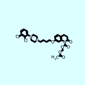 CC(=O)OCOC(=O)N1C(=O)CCc2ccc(OCCCCN3CCN(c4cccc(Cl)c4Cl)CC3)cc21